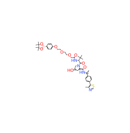 Cc1ncsc1-c1ccc([C@H](C)NC(=O)[C@H]2C[C@H](O)CN2C(=O)C(NC(=O)COCCOCCOc2ccc(B3OC(C)(C)C(C)(C)O3)cc2)C(C)(C)C)cc1